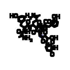 C[C@H](N)C(=O)CC(C(N)C(=O)N(/C=C1\CC(O)C(n2ccc(=O)[nH]c2=O)O1)C(=O)NC(Cc1cccc(O)c1)C(=O)O)N(C)C(=O)[C@H](Cc1cccc(O)c1)NC(=O)[C@H](C)N